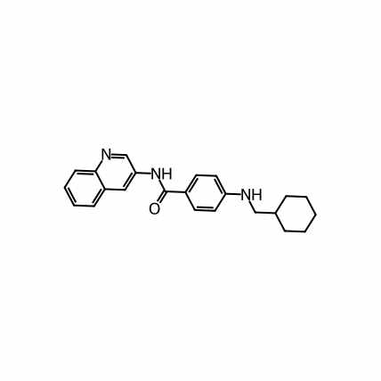 O=C(Nc1cnc2ccccc2c1)c1ccc(NCC2CCCCC2)cc1